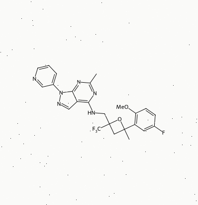 COc1ccc(F)cc1C1(C)CC(CNc2nc(C)nc3c2cnn3-c2cccnc2)(C(F)(F)F)O1